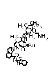 Cc1c(-c2ccc(N3CCc4cccc(C(=O)Nc5nc6ccccc6s5)c4C3)nc2C(=O)OC(C)(C)C)cnn1CC1(C)CC2(C)CC(C)(C)CC(OCCN)(C1)C2